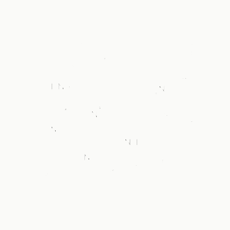 CSc1nc(NC2CC2)nc(NC(C)(C)C)n1.Cn1sccc1=O